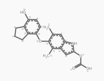 Cc1cc2[nH]c(OC(=O)O)cc2c(C)c1Oc1ccc(O)c2c1CCC2